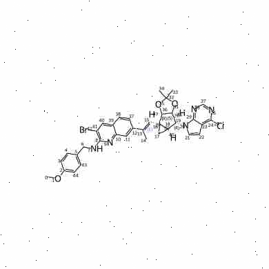 COc1ccc(CNc2nc3cc(/C(C)=C/[C@@]45C[C@@H]4[C@@H](n4ccc6c(Cl)ncnc64)[C@@H]4OC(C)(C)O[C@@H]45)ccc3cc2Br)cc1